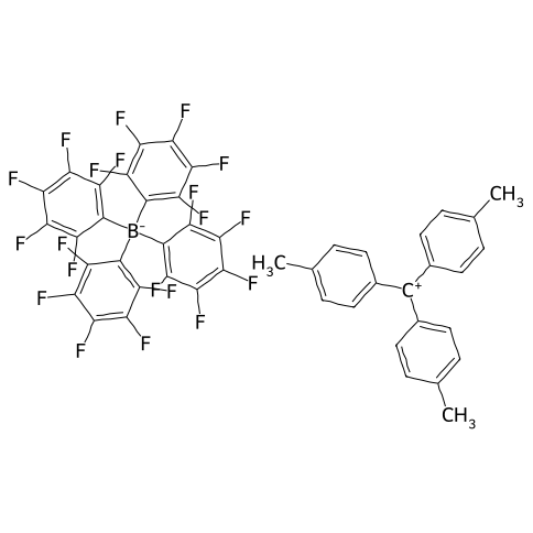 Cc1ccc([C+](c2ccc(C)cc2)c2ccc(C)cc2)cc1.Fc1c(F)c(F)c([B-](c2c(F)c(F)c(F)c(F)c2F)(c2c(F)c(F)c(F)c(F)c2F)c2c(F)c(F)c(F)c(F)c2F)c(F)c1F